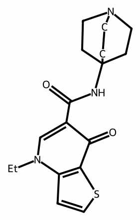 CCn1cc(C(=O)NC23CCN(CC2)CC3)c(=O)c2sccc21